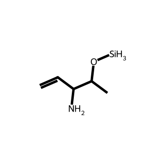 C=CC(N)C(C)O[SiH3]